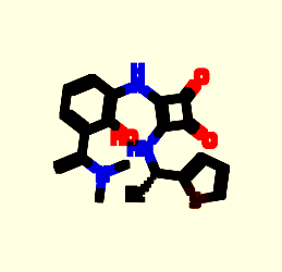 C=C(c1cccc(Nc2c(N[C@@H](CC)c3cccs3)c(=O)c2=O)c1O)N(C)C